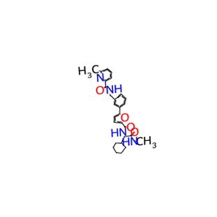 CNC(=O)C(NC(=O)c1ccc(-c2cccc(CNC(=O)c3cccc(C)n3)c2)o1)C1CCCCC1